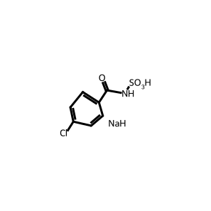 O=C(NS(=O)(=O)O)c1ccc(Cl)cc1.[NaH]